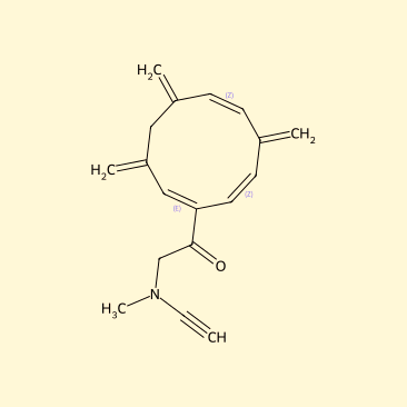 C#CN(C)CC(=O)C1=C/C(=C)CC(=C)/C=C\C(=C)/C=C\1